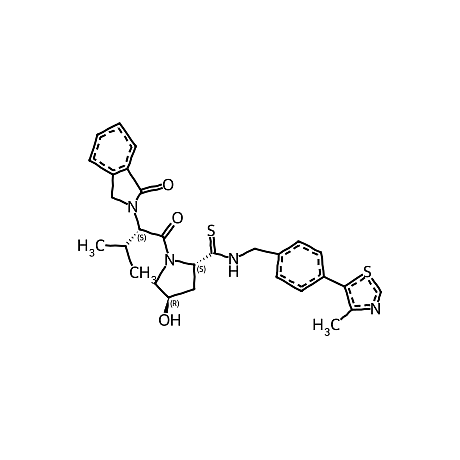 Cc1ncsc1-c1ccc(CNC(=S)[C@@H]2C[C@@H](O)CN2C(=O)[C@H](C(C)C)N2Cc3ccccc3C2=O)cc1